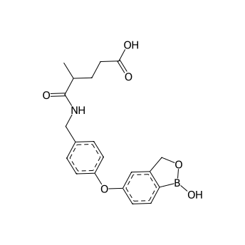 CC(CCC(=O)O)C(=O)NCc1ccc(Oc2ccc3c(c2)COB3O)cc1